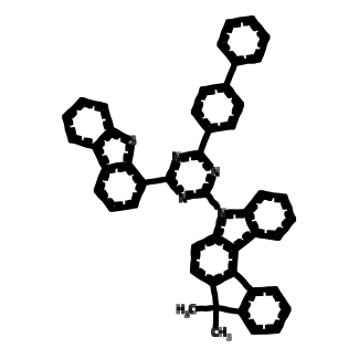 CC1(C)c2ccccc2-c2c1ccc1c2c2ccccc2n1-c1nc(-c2ccc(-c3ccccc3)cc2)nc(-c2cccc3c2sc2ccccc23)n1